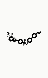 CCCC1CCC(C2CCC(OC(F)(F)C3CC=C(c4cc5ccc(OCC)c(F)c5s4)CC3)CC2)CC1